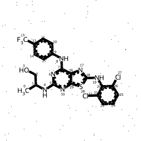 CC(CO)Nc1nc(Nc2ccc(C(F)(F)F)cc2)c2nc(Nc3c(Cl)cccc3Cl)sc2n1